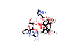 CC(C)[C@@]1(O)[C@@H](OC(=O)c2ccc[nH]2)[C@@]2(O)[C@@]3(C)C[C@]4(O)O[C@@]5([C@H](O)[C@@H](C)CC[C@]35O)[C@@]2(O)[C@@]14C.Nc1ncnc2c1ncn2[C@]1(C2CCCCC2)O[C@H](CO)[C@@H](O)[C@H]1O